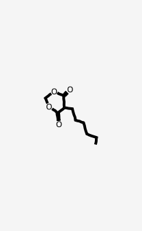 CCCCCCC1C(=O)OCOC1=O